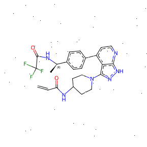 C=CC(=O)NC1CCN(c2n[nH]c3nccc(-c4ccc([C@@H](C)NC(=O)C(F)(F)F)cc4)c23)CC1